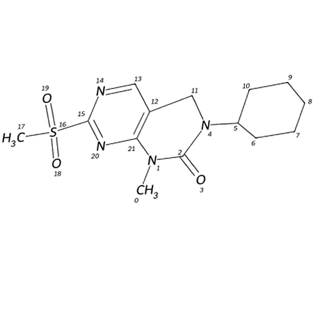 CN1C(=O)N(C2CCCCC2)Cc2cnc(S(C)(=O)=O)nc21